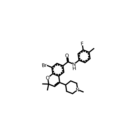 Cc1ccc(NC(=O)c2cc(Br)c3c(c2)C(C2CCN(C)CC2)=CC(C)(C)O3)cc1F